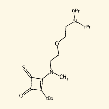 CCCN(CCC)CCOCCN(C)c1c(C(C)(C)C)c(=O)c1=S